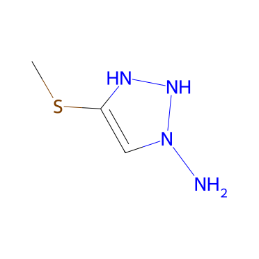 CSC1=CN(N)NN1